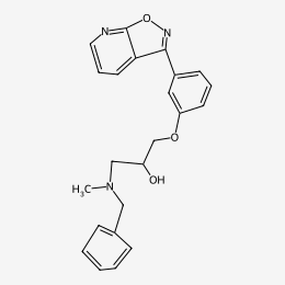 CN(Cc1ccccc1)CC(O)COc1cccc(-c2noc3ncccc23)c1